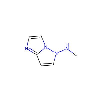 CNn1ccc2nccn21